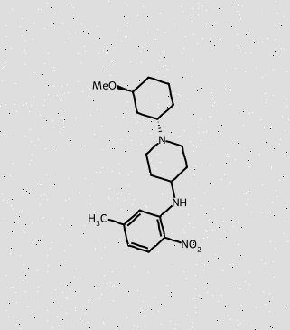 CO[C@H]1CCC[C@H](N2CCC(Nc3cc(C)ccc3[N+](=O)[O-])CC2)C1